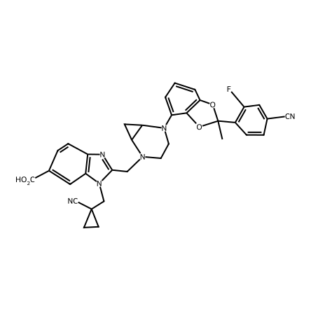 CC1(c2ccc(C#N)cc2F)Oc2cccc(N3CCN(Cc4nc5ccc(C(=O)O)cc5n4CC4(C#N)CC4)C4CC43)c2O1